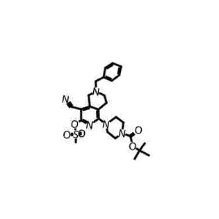 CC(C)(C)OC(=O)N1CCN(c2nc(OS(C)(=O)=O)c(C#N)c3c2CCN(Cc2ccccc2)C3)CC1